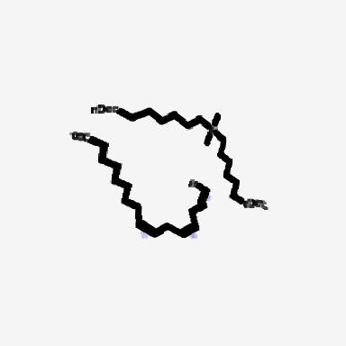 CC/C=C\C/C=C\C/C=C\CCCCCCCC(=O)[O-].CCCCCCCCCCCCCCCC[N+](C)(C)CCCCCCCCCCCCCCCC